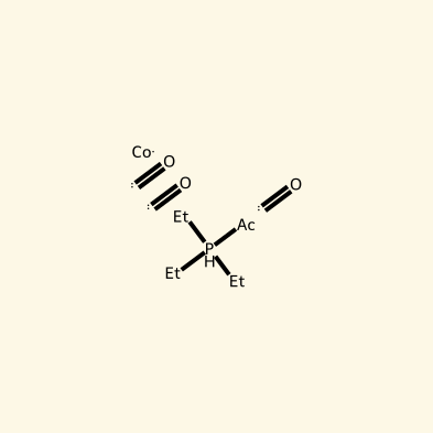 CC[PH](CC)(CC)C(C)=O.[C]=O.[C]=O.[C]=O.[Co]